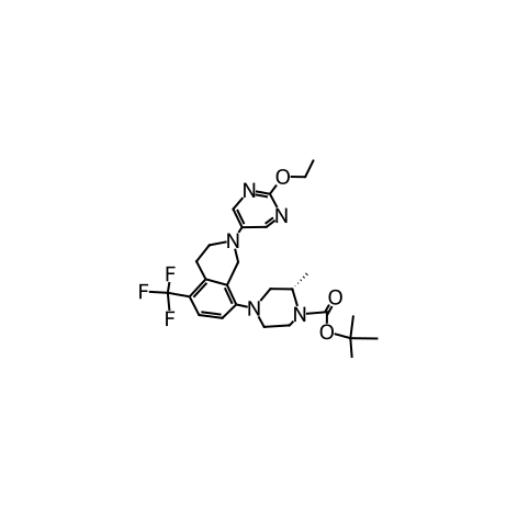 CCOc1ncc(N2CCc3c(C(F)(F)F)ccc(N4CCN(C(=O)OC(C)(C)C)[C@@H](C)C4)c3C2)cn1